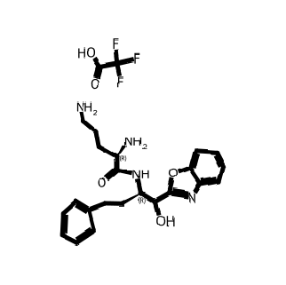 NCCC[C@@H](N)C(=O)N[C@H](CCc1ccccc1)C(O)c1nc2ccccc2o1.O=C(O)C(F)(F)F